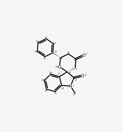 CN1C(=O)[C@@]2(CC(=O)C[C@@H](c3ccccc3)O2)c2ccccc21